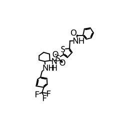 O=C(NCc1ccc(S(=O)(=O)NC2CCCCC2NCc2ccc(C(F)(F)F)cc2)s1)c1ccccc1